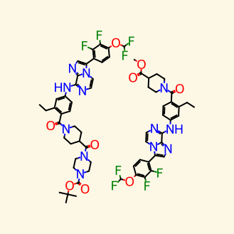 CCc1cc(Nc2nccn3c(-c4ccc(OC(F)F)c(F)c4F)cnc23)ccc1C(=O)N1CCC(C(=O)N2CCN(C(=O)OC(C)(C)C)CC2)CC1.CCc1cc(Nc2nccn3c(-c4ccc(OC(F)F)c(F)c4F)cnc23)ccc1C(=O)N1CCC(C(=O)OC)CC1